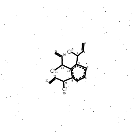 C=CC(Cl)c1cccc(C(Cl)C=C)c1C(Cl)C=C